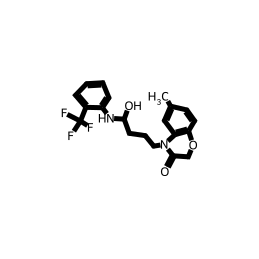 Cc1ccc2c(c1)N(CCCC(O)Nc1ccccc1C(F)(F)F)C(=O)CO2